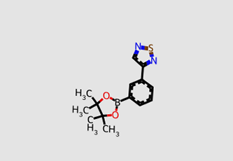 CC1(C)OB(c2cccc(-c3cnsn3)c2)OC1(C)C